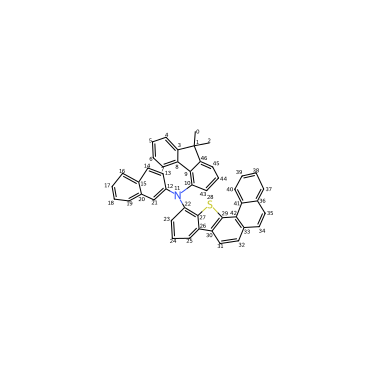 CC1(C)c2ccccc2-c2c(N(c3ccc4ccccc4c3)c3cccc4c3sc3c4ccc4ccc5ccccc5c43)cccc21